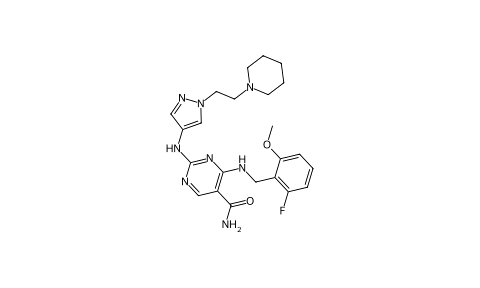 COc1cccc(F)c1CNc1nc(Nc2cnn(CCN3CCCCC3)c2)ncc1C(N)=O